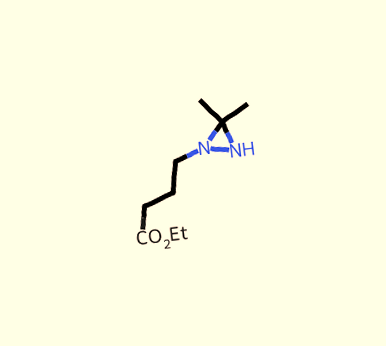 CCOC(=O)CCCN1NC1(C)C